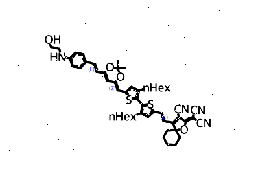 CCCCCCc1cc(/C=C2C=C(/C=C/c3ccc(NCCO)cc3)OC(C)(C)O/2)sc1-c1sc(/C=C/C2=C(C#N)C(=C(C#N)C#N)OC23CCCCC3)cc1CCCCCC